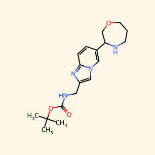 CC(C)(C)OC(=O)NCc1cn2cc(C3COCCCN3)ccc2n1